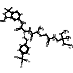 CC1(C)OB(O)c2cc(NC(=O)[C@@H](CCc3ccc(C(F)(F)F)cc3)NC(=O)[C@@H](N)CCC(=O)NCC(O)(CN)CN)ccc21